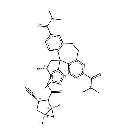 Cc1nnc(C2(C[C@@H](C)NCC(=O)N3[C@H](C#N)C[C@@H]4C[C@@H]43)c3ccc(C(=O)N(C)C)cc3CCc3cc(C(=O)N(C)C)ccc32)o1